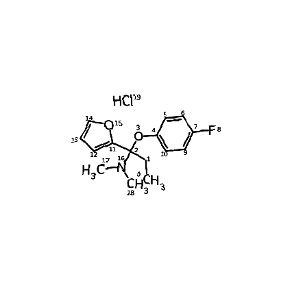 CCC(Oc1ccc(F)cc1)(c1ccco1)N(C)C.Cl